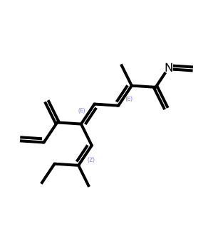 C=CC(=C)C(/C=C(/C)CC)=C/C=C(\C)C(=C)N=C